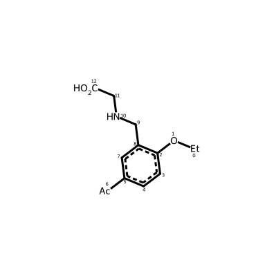 CCOc1ccc(C(C)=O)cc1CNCC(=O)O